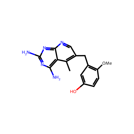 COc1ccc(O)cc1Cc1cnc2nc(N)nc(N)c2c1C